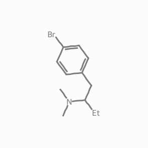 CCC(Cc1ccc(Br)cc1)N(C)C